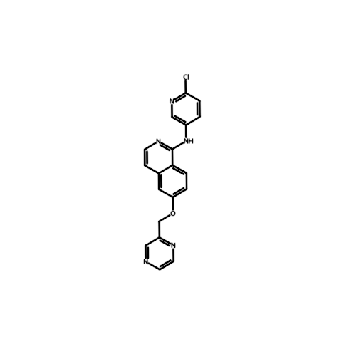 Clc1ccc(Nc2nccc3cc(OCc4cnccn4)ccc23)cn1